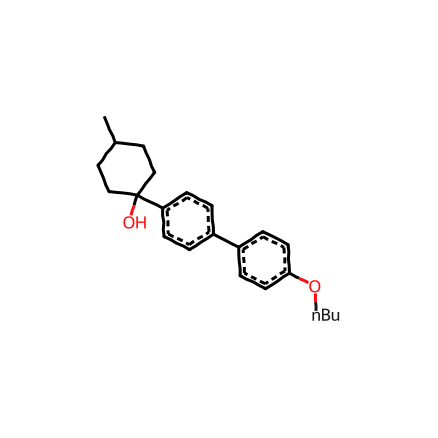 CCCCOc1ccc(-c2ccc(C3(O)CCC(C)CC3)cc2)cc1